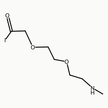 CNCCOCCOCC(=O)I